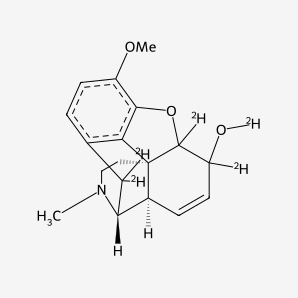 [2H]OC1([2H])C=C[C@H]2[C@@H]3N(C)CC[C@@]24c2c(ccc(OC)c2OC14[2H])C3([2H])[2H]